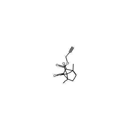 C#CCOC(=O)C1(C)C2(C)CCC1(C)C(=O)C2=O